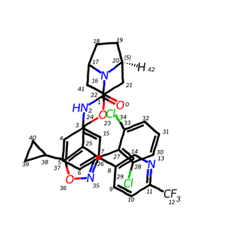 O=C(Nc1cccc(-c2ccc(C(F)(F)F)nc2)c1)N1C2CC[C@H]1CC(OCc1c(-c3c(Cl)cccc3Cl)noc1C1CC1)C2